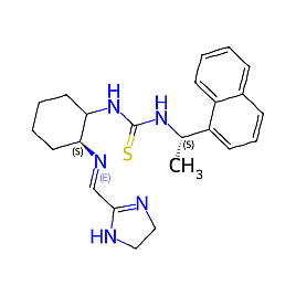 C[C@H](NC(=S)NC1CCCC[C@@H]1/N=C/C1=NCCN1)c1cccc2ccccc12